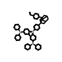 C=Cc1ccc(C23CC4CC(C2)CC(c2ccc(-n5c6ccc(N(c7ccccc7)c7ccccc7)cc6c6cc(N(c7ccccc7)c7ccccc7)ccc65)cc2)(C4)C3)cc1